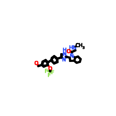 CNCC(=O)N1C(c2nc(-c3ccc(-c4ccc(C=O)cc4OC(F)(F)F)cc3)c[nH]2)CC2CCCCC21